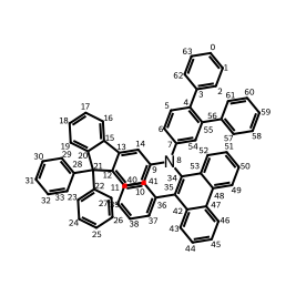 c1ccc(-c2ccc(N(c3ccc4c(c3)-c3ccccc3C4(c3ccccc3)c3ccccc3)c3c(-c4ccccc4)c4ccccc4c4ccccc34)cc2-c2ccccc2)cc1